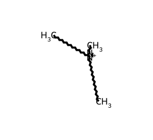 CCCCCCCCCCCCCCCCCC[n+]1ccn(CCC)c1CCCCCCCCCCCCCCCC